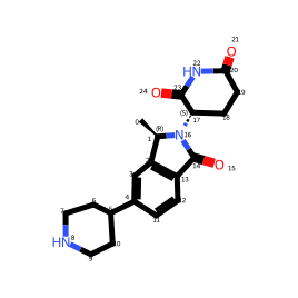 C[C@@H]1c2cc(C3CCNCC3)ccc2C(=O)N1[C@H]1CCC(=O)NC1=O